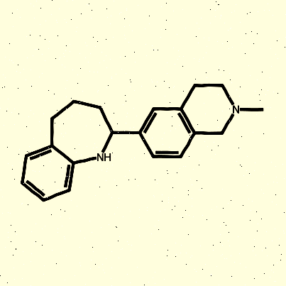 CN1CCc2cc(C3CCCc4ccccc4N3)ccc2C1